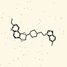 CCc1ccc2c3c(ccc2n1)OCC(N1CCC(CCn2ccc4ccc(F)cc42)CC1)O3